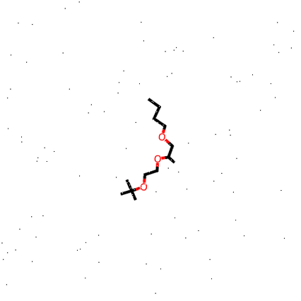 CCCCOCC(C)OCCOC(C)(C)C